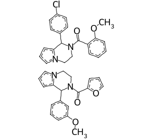 COc1cccc(C2c3cccn3CCN2C(=O)c2ccco2)c1.COc1ccccc1C(=O)N1CCn2cccc2C1c1ccc(Cl)cc1